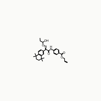 C=CCOC(=O)c1ccc(NC(=O)/C(=N/OC(O)CC)c2ccc3c(c2)C(C)(C)CCC3(C)C)cc1